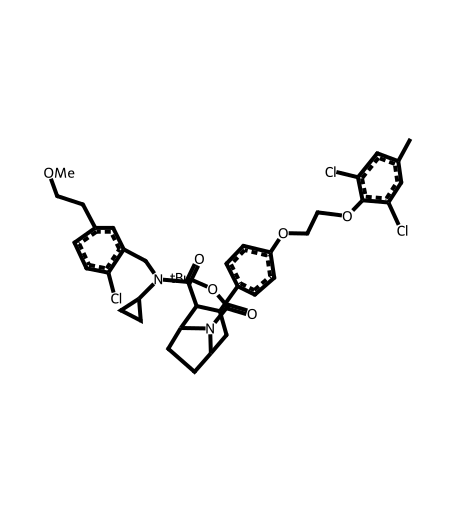 COCCc1ccc(Cl)c(CN(C(=O)C2C(c3ccc(OCCOc4c(Cl)cc(C)cc4Cl)cc3)CC3CCC2N3C(=O)OC(C)(C)C)C2CC2)c1